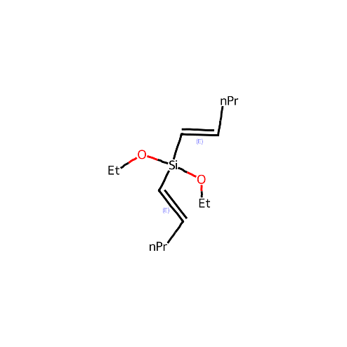 CCC/C=C/[Si](/C=C/CCC)(OCC)OCC